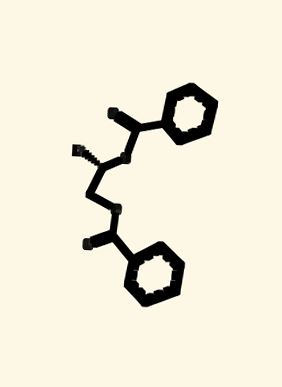 CC[C@@H](COC(=O)c1ccccc1)OC(=O)c1ccccc1